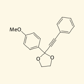 COc1ccc(C2(C#Cc3ccccc3)OCCO2)cc1